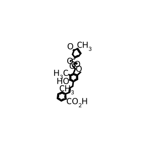 CC1=CC=C(S(=O)(=O)OC2OCc3cc(C/C=C/c4c(C)cccc4C(=O)O)c(O)c(C)c32)CC1=O